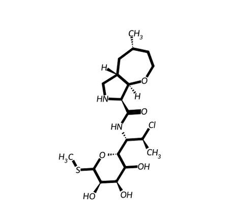 CSC1O[C@H]([C@H](NC(=O)[C@H]2NC[C@@H]3C[C@H](C)CCO[C@H]32)[C@H](C)Cl)C(O)[C@@H](O)[C@H]1O